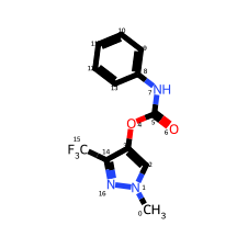 Cn1cc(OC(=O)Nc2ccccc2)c(C(F)(F)F)n1